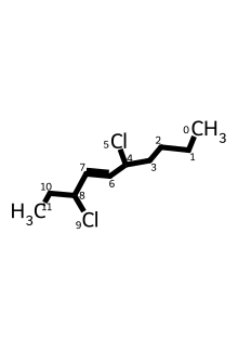 CCCCC(Cl)/C=C/C(Cl)CC